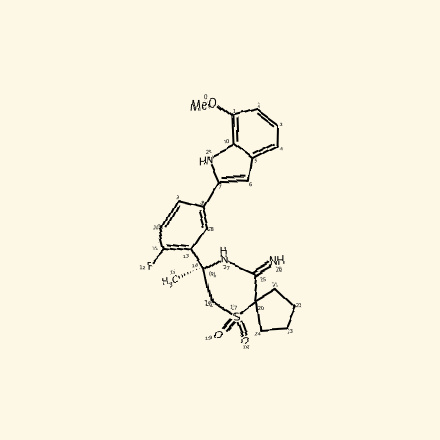 COc1cccc2cc(-c3ccc(F)c([C@]4(C)CS(=O)(=O)C5(CCCC5)C(=N)N4)c3)[nH]c12